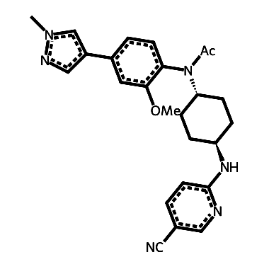 COc1cc(-c2cnn(C)c2)ccc1N(C(C)=O)[C@H]1CC[C@H](Nc2ccc(C#N)cn2)CC1